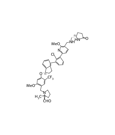 COc1cc(O[C@H]2CCc3c(-c4cccc(-c5ccc(CNC[C@@H]6CCC(=O)N6)c(OC)n5)c4Cl)cccc32)c(C(F)(F)F)cc1CN1CCC[C@@]1(C)C=O